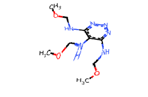 COCNc1nnnc(NCOC)c1NCOC